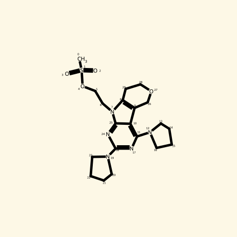 CS(=O)(=O)OCCn1c2c(c3c(N4CCCC4)nc(N4CCCC4)nc31)COCC2